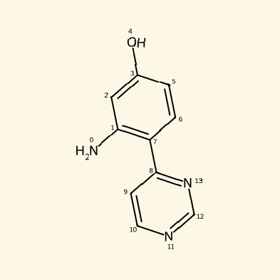 Nc1cc(O)ccc1-c1ccncn1